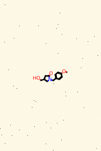 COc1ccc(CN2CC(CO)CC2=O)cc1